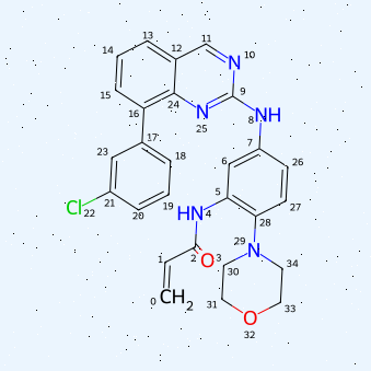 C=CC(=O)Nc1cc(Nc2ncc3cccc(-c4cccc(Cl)c4)c3n2)ccc1N1CCOCC1